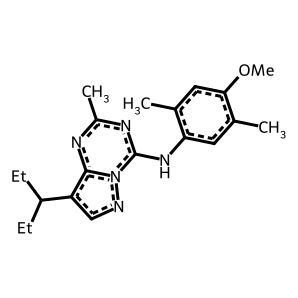 CCC(CC)c1cnn2c(Nc3cc(C)c(OC)cc3C)nc(C)nc12